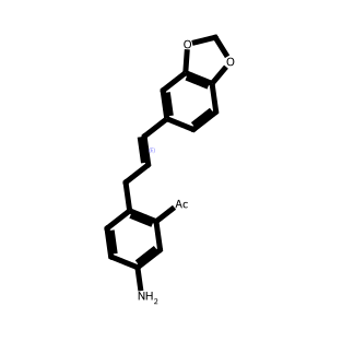 CC(=O)c1cc(N)ccc1C/C=C/c1ccc2c(c1)OCO2